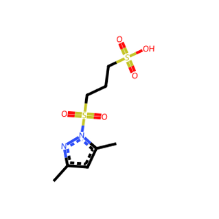 Cc1cc(C)n(S(=O)(=O)CCCS(=O)(=O)O)n1